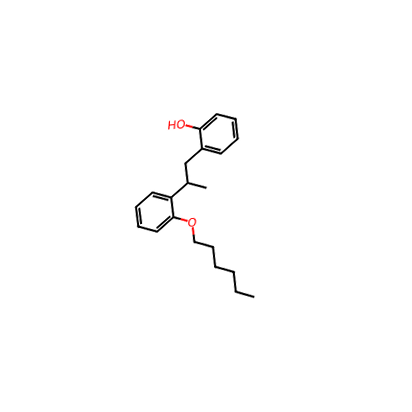 CCCCCCOc1ccccc1C(C)Cc1ccccc1O